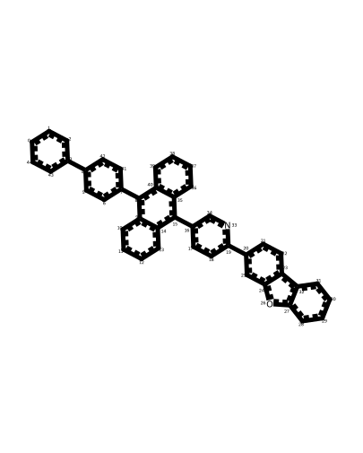 c1ccc(-c2ccc(-c3c4ccccc4c(-c4ccc(-c5ccc6c(c5)oc5ccccc56)nc4)c4ccccc34)cc2)cc1